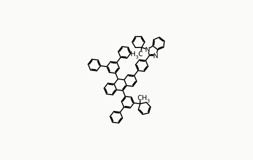 CC1(c2cc(C3=C4C=CC(c5ccc(-c6nc7ccccc7n6C6(C)C=CC=CC6)cc5)=CC4C(c4cc(-c5ccccc5)cc(-c5ccccc5)c4)c4ccccc43)cc(-c3ccccc3)c2)C=CC=CC1